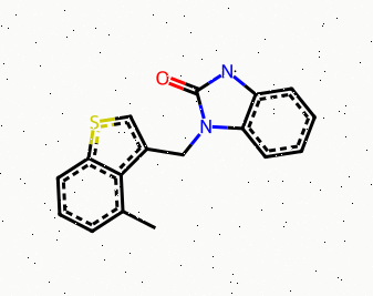 Cc1cccc2scc(CN3C(=O)[N]c4ccccc43)c12